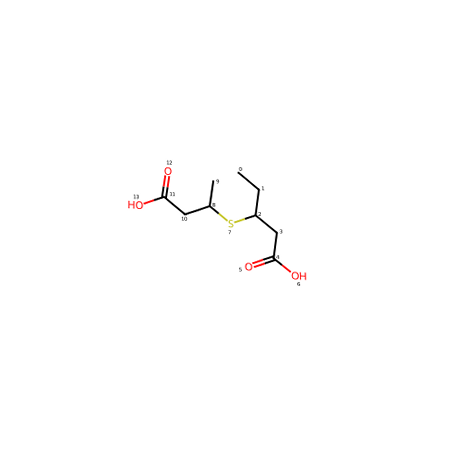 CCC(CC(=O)O)SC(C)CC(=O)O